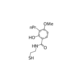 CCCc1c(OC)ccc(C(=O)NCCS)c1O